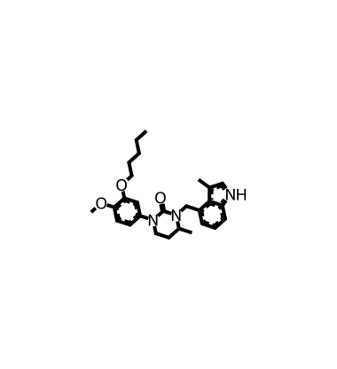 CCCCCOc1cc(N2CCC(C)N(Cc3cccc4[nH]cc(C)c34)C2=O)ccc1OC